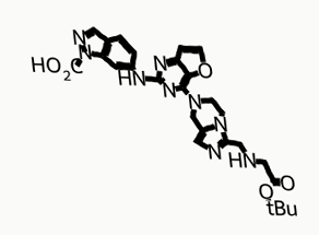 CC(C)(C)OC(=O)CNCc1ncc2n1CCN(c1nc(Nc3ccc4cnn(C(=O)O)c4c3)nc3ccoc13)C2